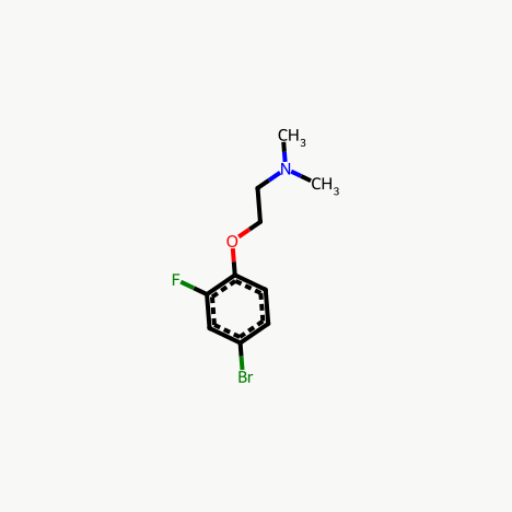 CN(C)CCOc1ccc(Br)cc1F